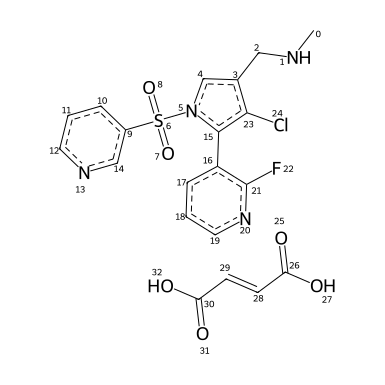 CNCc1cn(S(=O)(=O)c2cccnc2)c(-c2cccnc2F)c1Cl.O=C(O)/C=C/C(=O)O